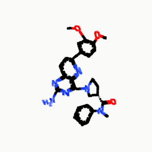 COc1ccc(-c2ccc3nc(N)nc(N4CC[C@H](C(=O)N(C)c5ccccc5)C4)c3n2)cc1OC